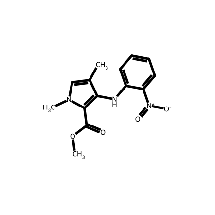 COC(=O)c1c(Nc2ccccc2[N+](=O)[O-])c(C)cn1C